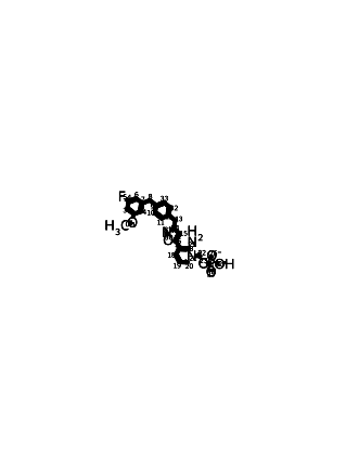 COc1cc(F)cc(Cc2ccc(Cc3cc(-c4ccc[n+](COP(=O)([O-])O)c4N)on3)cc2)c1